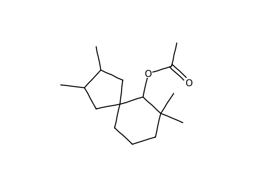 CC(=O)OC1C(C)(C)CCCC12CC(C)C(C)C2